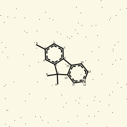 Cc1ccc2c(c1)C(C)(C)c1cnccc1-2